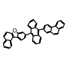 c1ccc2c(c1)ccc1cc(-c3c4ccccc4c(-c4ccc5c(c4)oc4ccc6ccccc6c45)c4ccccc34)ccc12